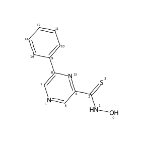 ONC(=S)c1cncc(-c2ccccc2)n1